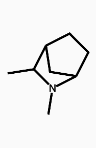 CC1C2CCC(C2)N1C